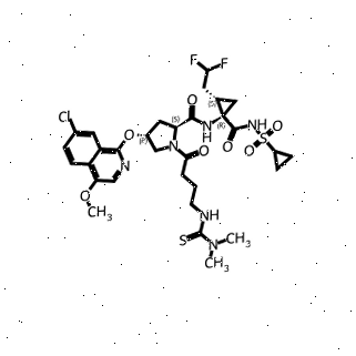 COc1cnc(O[C@@H]2C[C@@H](C(=O)N[C@]3(C(=O)NS(=O)(=O)C4CC4)C[C@H]3CC(F)F)N(C(=O)CCCNC(=S)N(C)C)C2)c2cc(Cl)ccc12